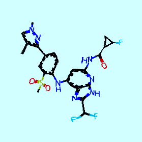 Cc1cn(C)nc1-c1ccc(Nc2cc(NC(=O)[C@H]3C[C@H]3F)nc3[nH]c(C(F)F)nc23)c(S(C)(=O)=O)c1